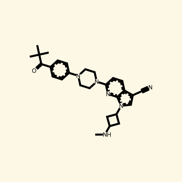 CNC1CC(n2cc(C#N)c3ccc(N4CCN(c5ccc(C(=O)C(C)(C)C)cc5)CC4)nc32)C1